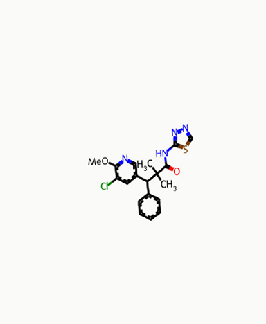 COc1ncc(C(c2ccccc2)C(C)(C)C(=O)Nc2nncs2)cc1Cl